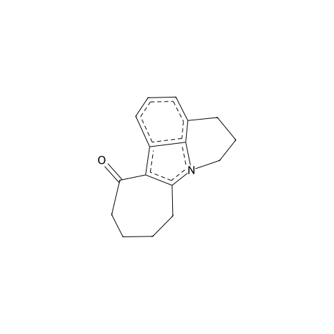 O=C1CCCCc2c1c1cccc3c1n2CCC3